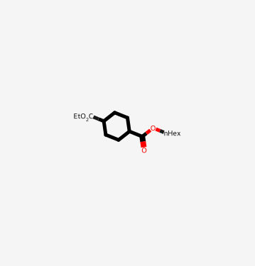 CCCCCCOC(=O)C1CCC(C(=O)OCC)CC1